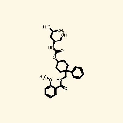 COc1ccccc1C(=O)NCC1(c2ccccc2)CCC(OC(=O)N[C@H](CO)CC(C)C)CC1